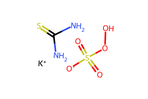 NC(N)=S.O=S(=O)([O-])OO.[K+]